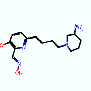 NC1CCCN(CCCCc2ccc(O)c(C=NO)n2)C1